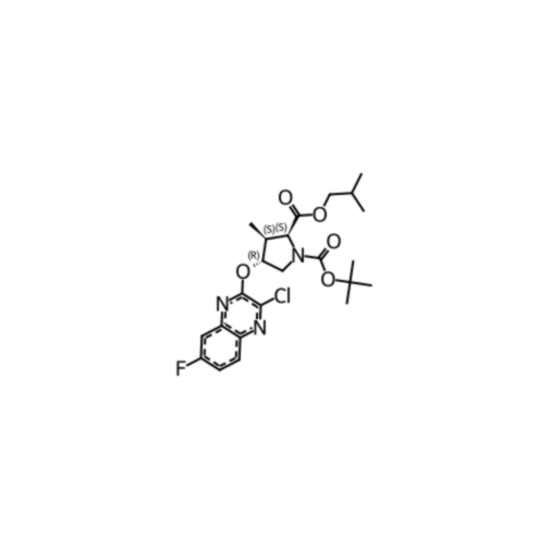 CC(C)COC(=O)[C@@H]1[C@H](C)[C@@H](Oc2nc3cc(F)ccc3nc2Cl)CN1C(=O)OC(C)(C)C